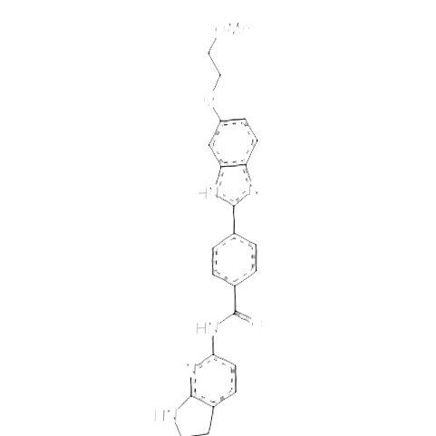 COCCOc1ccc2nc(-c3ccc(C(=O)Nc4ccc5c(n4)NCC5)cc3)[nH]c2c1